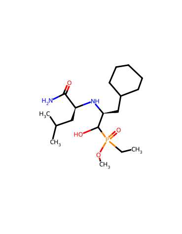 CCP(=O)(OC)C(O)[C@H](CC1CCCCC1)N[C@@H](CC(C)C)C(N)=O